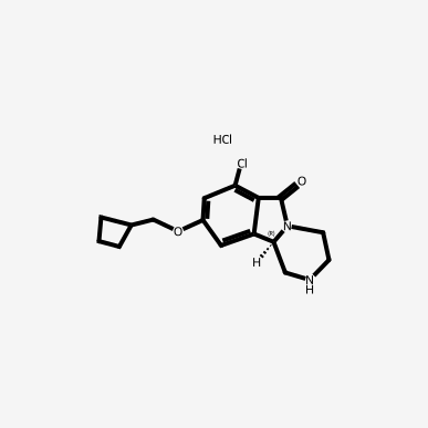 Cl.O=C1c2c(Cl)cc(OCC3CCC3)cc2[C@@H]2CNCCN12